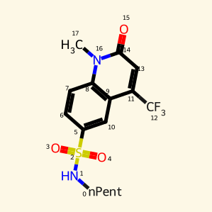 CCCCCNS(=O)(=O)c1ccc2c(c1)c(C(F)(F)F)cc(=O)n2C